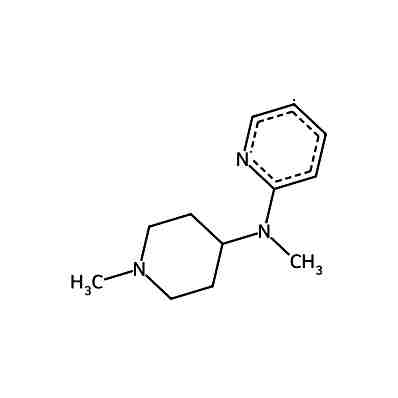 CN1CCC(N(C)c2cc[c]cn2)CC1